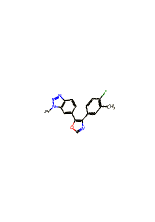 Cc1cc(-c2ncoc2-c2ccc3nnn(C(C)C)c3c2)ccc1F